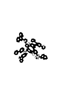 CC1(C)c2ccccc2-c2ccc(N(c3cccc(-c4ccccc4)c3)c3cc4oc5c(-c6ncnc(-c7ccc8ccccc8c7)n6)ccc6c7cc(-c8cc(-c9ccccn9)ccc8-c8ccccc8)cc8oc9c(-c%10cccc(-c%11cc%12ccccc%12c%12ccccc%11%12)n%10)ccc(c(c3)c4c56)c9c87)cc21